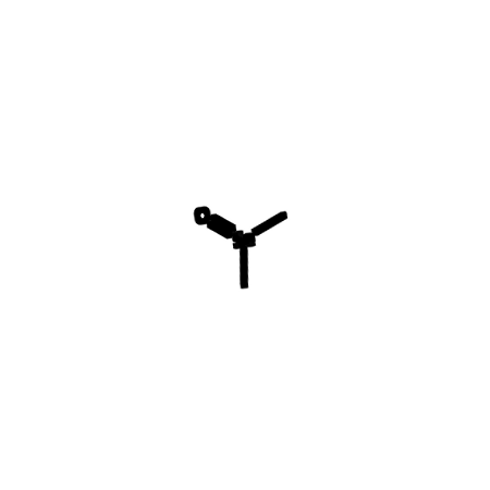 C[Se](C)=O